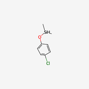 C[SiH](C)Oc1ccc(Cl)cc1